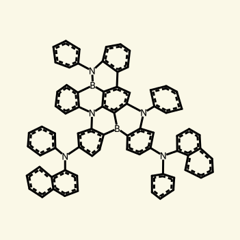 c1ccc(N2B3c4ccccc4N4c5cc(N(c6ccccc6)c6cccc7ccccc67)ccc5B5c6ccc(N(c7ccccc7)c7cccc8ccccc78)cc6N(c6ccccc6)c6cc(c3c4c65)-c3ccccc32)cc1